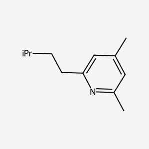 Cc1cc(C)nc(CCC(C)C)c1